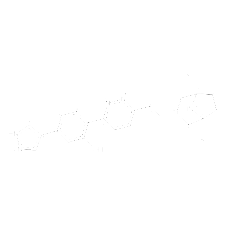 Oc1cc(-c2cn[nH]c2)ccc1-c1ccc(C=C[C@@H]2C[C@H]3CC[C@@H](C2)N3)nn1